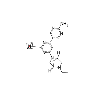 CCN1C[C@@H]2C[C@H]1CN2c1cc(-c2cnc(N)nc2)nc(N2CC3CC2C3)n1